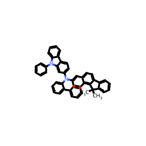 CC1(C)c2ccccc2-c2ccc3cc(N(c4ccc5c6ccccc6n(-c6ccccc6)c5c4)c4ccccc4-c4ccccc4)ccc3c21